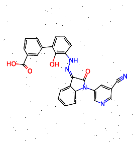 N#Cc1cncc(N2C(=O)C(=NNc3cccc(-c4cccc(C(=O)O)c4)c3O)c3ccccc32)c1